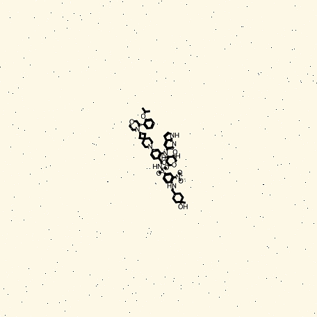 CC(C)Oc1ccccc1[C@@H]1COCCN1C1CC2(CCN(c3ccc(C(=O)NS(=O)(=O)c4ccc(NCC5CCC(C)(O)CC5)c([N+](=O)[O-])c4)c(N4c5cc6cc[nH]c6nc5O[C@H]5COCC[C@@H]54)c3)CC2)C1